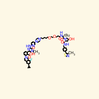 Cc1ncsc1-c1ccc(CNC(=O)[C@@H]2C[C@@H](O)CN2C(=O)[C@@H](NC(=O)CCOCCOCCCCCN2CCN(c3ccc(Nc4nc(-c5cccc(-n6ccc7cc(C8CC8)cc(F)c7c6=O)c5CO)cn(C)c4=O)nc3)CC2)C(C)(C)C)cc1